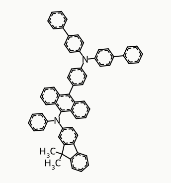 CC1(C)c2ccccc2-c2ccc(N(c3ccccc3)c3c4ccccc4c(-c4ccc(N(c5ccc(-c6ccccc6)cc5)c5ccc(-c6ccccc6)cc5)cc4)c4ccccc34)cc21